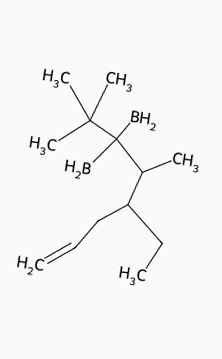 BC(B)(C(C)C(CC)CC=C)C(C)(C)C